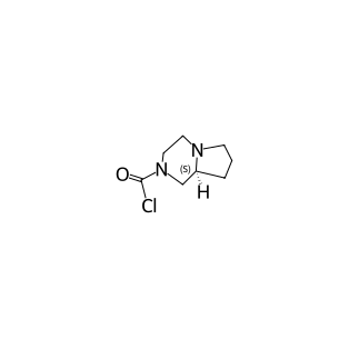 O=C(Cl)N1CCN2CCC[C@H]2C1